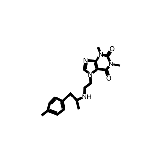 Cc1ccc(CC(C)NCCn2cnc3c2c(=O)n(C)c(=O)n3C)cc1